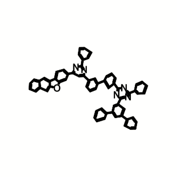 c1ccc(-c2cc(-c3ccccc3)cc(-c3nc(-c4ccccc4)nc(-c4cccc(-c5cccc(-c6cc(-c7ccc8c(c7)oc7cc9ccccc9cc78)nc(-c7ccccc7)n6)c5)c4)n3)c2)cc1